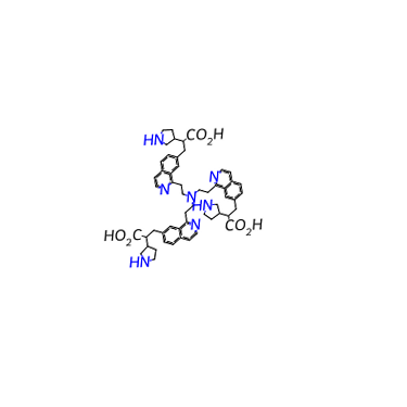 O=C(O)C(Cc1ccc2ccnc(CCN(CCc3nccc4ccc(CC(C(=O)O)C5CCNC5)cc34)CCc3nccc4ccc(CC(C(=O)O)C5CCNC5)cc34)c2c1)C1CCNC1